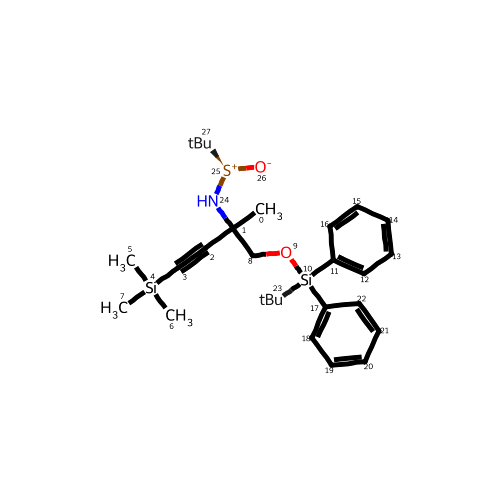 CC(C#C[Si](C)(C)C)(CO[Si](c1ccccc1)(c1ccccc1)C(C)(C)C)N[S@+]([O-])C(C)(C)C